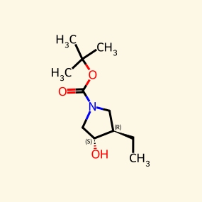 CC[C@@H]1CN(C(=O)OC(C)(C)C)C[C@H]1O